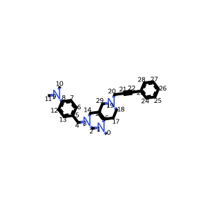 CN1CN(Cc2ccc(N(C)C)cc2)CC2=C1CCN(CC#Cc1ccccc1)C2